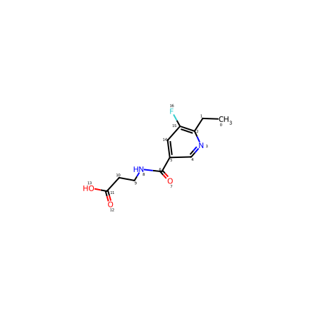 CCc1ncc(C(=O)NCCC(=O)O)cc1F